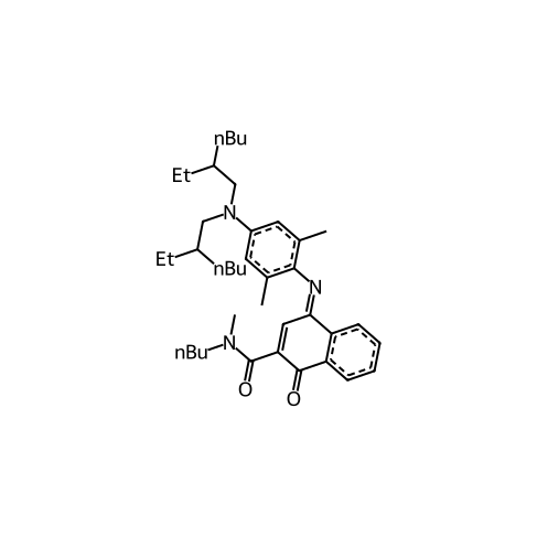 CCCCC(CC)CN(CC(CC)CCCC)c1cc(C)c(N=C2C=C(C(=O)N(C)CCCC)C(=O)c3ccccc32)c(C)c1